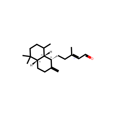 C=C1CC[C@H]2[C@H](C(C)CCC2(C)C)[C@@H]1CC/C(C)=C/C=O